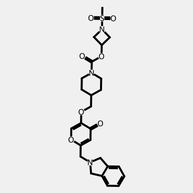 CS(=O)(=O)N1CC(OC(=O)N2CCC(COc3coc(CN4Cc5ccccc5C4)cc3=O)CC2)C1